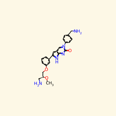 CO[C@@H](CN)COc1cccc(-c2cc3cn(-c4ccc(CN)cc4)c(=O)nc3[nH]2)c1